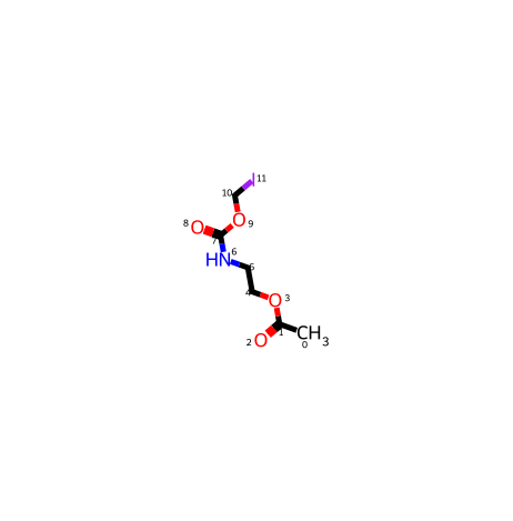 CC(=O)OCCNC(=O)OCI